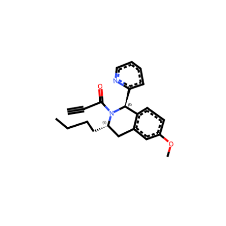 C#CC(=O)N1[C@@H](CCCC)Cc2cc(OC)ccc2[C@@H]1c1ccccn1